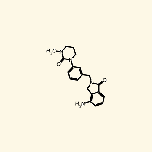 CN1CCCN(c2cccc(CN3Cc4c(N)cccc4C3=O)c2)C1=O